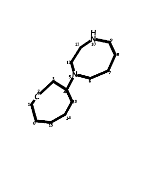 C1CCCC(N2CCCCNCC2)CCC1